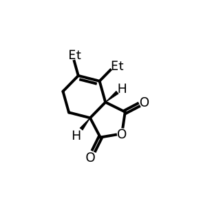 CCC1=C(CC)[C@@H]2C(=O)OC(=O)[C@@H]2CC1